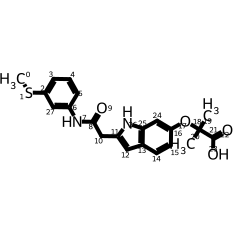 CSc1cccc(NC(=O)Cc2cc3ccc(OC(C)(C)C(=O)O)cc3[nH]2)c1